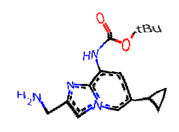 CC(C)(C)OC(=O)Nc1cc(C2CC2)cn2cc(CN)nc12